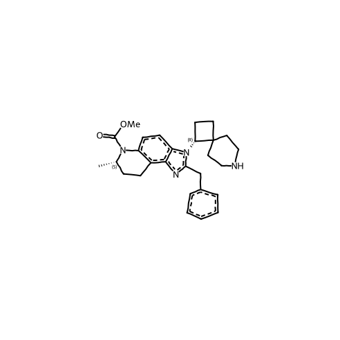 COC(=O)N1c2ccc3c(nc(Cc4ccccc4)n3[C@@H]3CCC34CCNCC4)c2CC[C@@H]1C